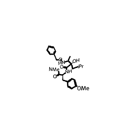 CNC(=O)[C@H](Cc1ccc(OC)cc1)NC(=O)[C@](O)(CC(C)C)C(C)NOCc1ccccc1